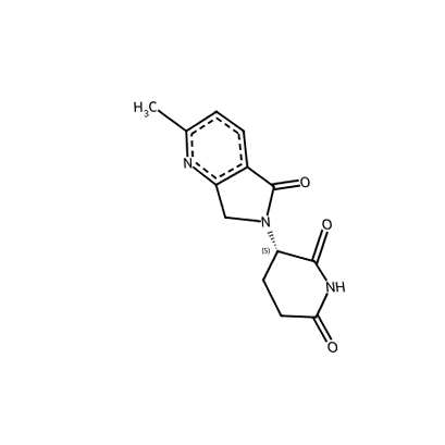 Cc1ccc2c(n1)CN([C@H]1CCC(=O)NC1=O)C2=O